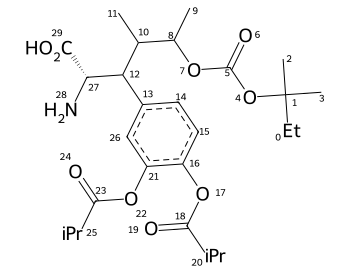 CCC(C)(C)OC(=O)OC(C)C(C)C(c1ccc(OC(=O)C(C)C)c(OC(=O)C(C)C)c1)[C@H](N)C(=O)O